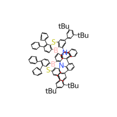 CC(C)(C)c1cc(-c2cc3c4c(c2)N(c2ccccc2)c2cc5c(cc2B4c2ccc(-c4ccccc4)c(-c4ccccc4)c2S3)B2c3ccc(-c4ccccc4)c(-c4ccccc4)c3Sc3cc(-c4cc(C(C)(C)C)cc(C(C)(C)C)c4)cc(c32)N5c2c(-c3ccccc3)cccc2-c2ccccc2)cc(C(C)(C)C)c1